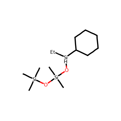 CC[SiH](O[Si](C)(C)O[Si](C)(C)C)C1CCCCC1